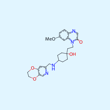 COc1ccc2ncc(=O)n(CCC3(O)CCC(NCc4cc5c(cn4)OCCO5)CC3)c2c1